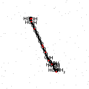 NC1CCCC(C(O)NCC(O)NC(C(O)O)C(O)NC2=CCC(OCCNC(=O)CCOCCOCCOCCOCCOCCOCCOCCOCCOCCOCCOCCOCCNC(O)CCN3C(O)CCC3O)CC2)C1